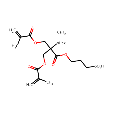 C=C(C)C(=O)OCC(CCCCCC)(COC(=O)C(=C)C)C(=O)OCCCS(=O)(=O)O.[CaH2]